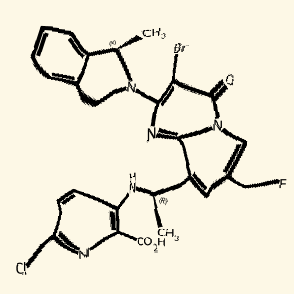 C[C@@H]1c2ccccc2CN1c1nc2c([C@@H](C)Nc3ccc(Cl)nc3C(=O)O)cc(F)cn2c(=O)c1Br